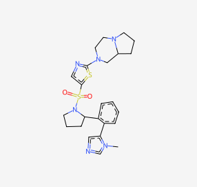 Cn1cncc1-c1ccccc1C1CCCN1S(=O)(=O)c1cnc(N2CCN3CCCC3C2)s1